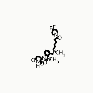 CN(CCCCCC(=O)N1CCC(F)(F)CC1)Cc1cccc2c1n(C)c(=O)n2C1CCC(=O)NC1=O